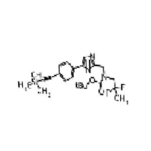 CC(F)(F)CN(Cc1ncc(-c2ccc(C#C[Si](C)(C)C)cc2)[nH]1)C(=O)OC(C)(C)C